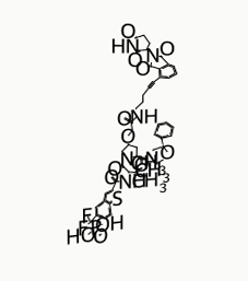 CC(C)(C)[C@H](NC(=O)c1cc2cc(C(F)(F)P(=O)(O)O)ccc2s1)C(=O)N1C[C@@H](OCC(=O)NCCCC#Cc2cccc3c2C(=O)N(C2CCC(=O)NC2=O)C3=O)C[C@H]1C(=O)N1CCO[C@H](c2ccccc2)C1